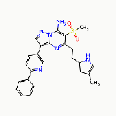 CC1=CNC(CCc2nc3c(-c4ccc(-c5ccccc5)nc4)cnn3c(N)c2S(C)(=O)=O)C1